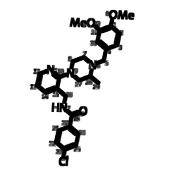 COc1ccc(CN2CCN(c3ncccc3CNC(=O)c3ccc(Cl)cc3)CC2C)cc1OC